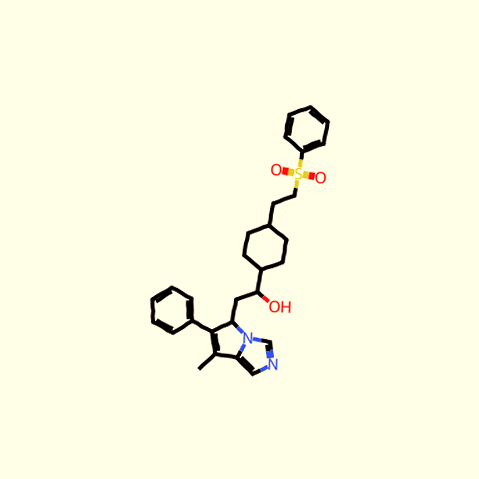 CC1=C(c2ccccc2)C(CC(O)C2CCC(CCS(=O)(=O)c3ccccc3)CC2)n2cncc21